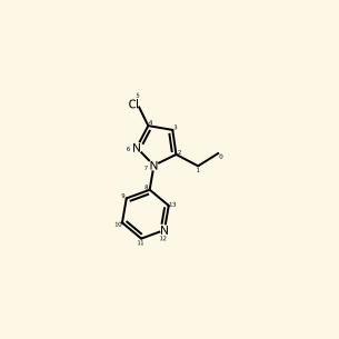 CCc1cc(Cl)nn1-c1cccnc1